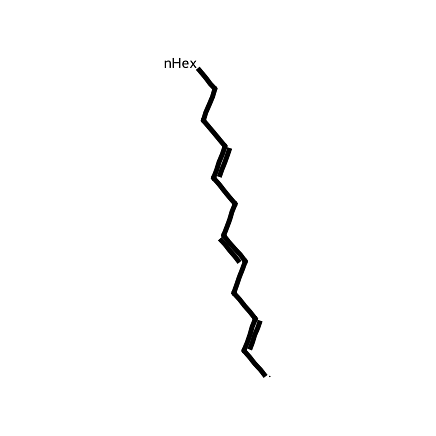 [CH2]C=CCC=CCC=CCCCCCCCC